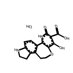 Cl.O=C(O)c1c(O)c2c([nH]c1=O)-c1ccc3c(c1CCO2)CCN3